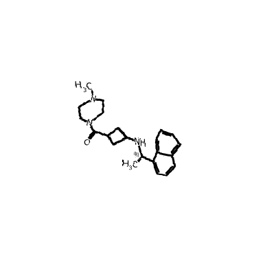 C[C@@H](NC1CC(C(=O)N2CCN(C)CC2)C1)c1cccc2ccccc12